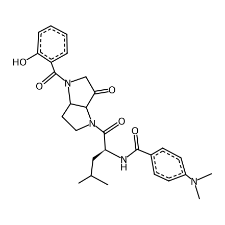 CC(C)C[C@H](NC(=O)c1ccc(N(C)C)cc1)C(=O)N1CCC2C1C(=O)CN2C(=O)c1ccccc1O